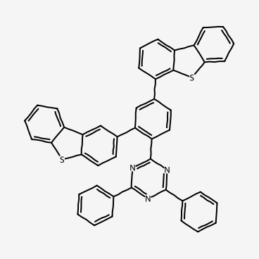 c1ccc(-c2nc(-c3ccccc3)nc(-c3ccc(-c4cccc5c4sc4ccccc45)cc3-c3ccc4sc5ccccc5c4c3)n2)cc1